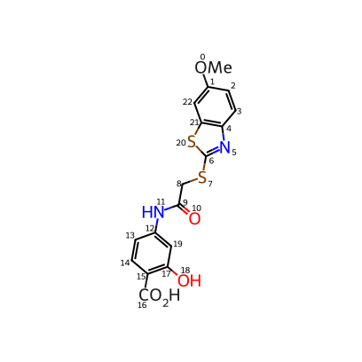 COc1ccc2nc(SCC(=O)Nc3ccc(C(=O)O)c(O)c3)sc2c1